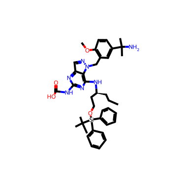 CCC[C@@H](CCO[Si](c1ccccc1)(c1ccccc1)C(C)(C)C)Nc1nc(NC(=O)O)nc2cnn(Cc3cc(C(C)(C)N)ccc3OC)c12